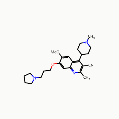 COc1cc2c(C3CCN(C)CC3)c(C#N)c(C)nc2cc1OCCCN1CCCC1